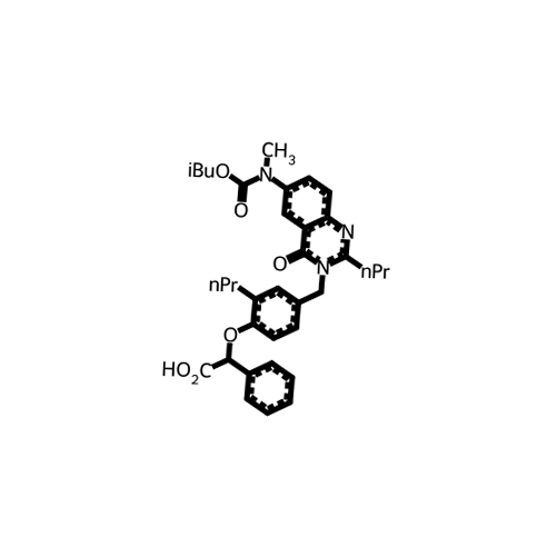 CCCc1cc(Cn2c(CCC)nc3ccc(N(C)C(=O)OCC(C)C)cc3c2=O)ccc1OC(C(=O)O)c1ccccc1